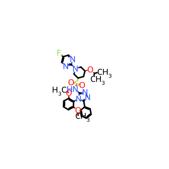 COc1cccc(OC)c1-n1c(NS(=O)(=O)[C@@H]2C[C@H](OC(C)C)CN(c3ncc(F)cn3)C2)nnc1-c1ccccc1